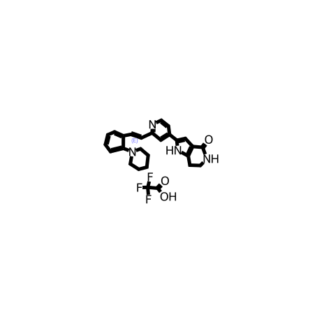 O=C(O)C(F)(F)F.O=C1NCCc2[nH]c(-c3ccnc(/C=C/c4ccccc4N4CCCCC4)c3)cc21